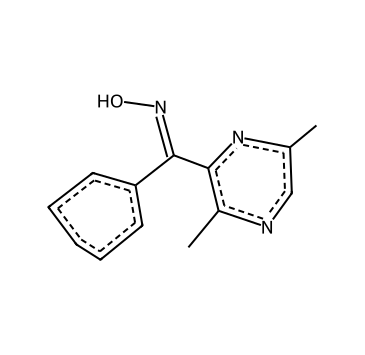 Cc1cnc(C)c(/C(=N/O)c2ccccc2)n1